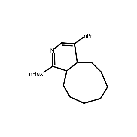 CCCCCCC1=NC=C(CCC)C2CCCCCCCC12